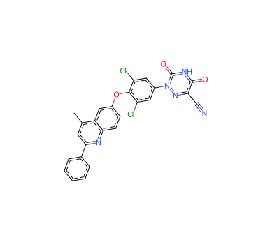 Cc1cc(-c2ccccc2)nc2ccc(Oc3c(Cl)cc(-n4nc(C#N)c(=O)[nH]c4=O)cc3Cl)cc12